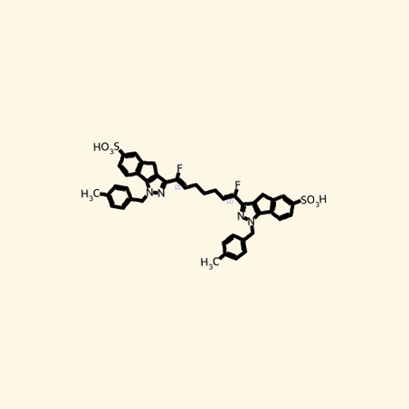 Cc1ccc(Cn2nc(/C(F)=C/CCC/C=C(\F)c3nn(Cc4ccc(C)cc4)c4c3Cc3cc(S(=O)(=O)O)ccc3-4)c3c2-c2ccc(S(=O)(=O)O)cc2C3)cc1